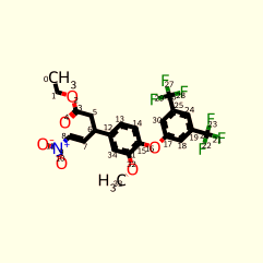 CCOC(=O)CC(C=C[N+](=O)[O-])c1ccc(Oc2cc(C(F)(F)F)cc(C(F)(F)F)c2)c(OC)c1